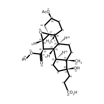 CC(=O)O[C@H]1CC[C@]2(C)[C@H]3CC[C@@]4(C)[C@@H](CC[C@@]4(O)CCC(=O)O)[C@@H]3[C@@H](C(=O)OC(C)C)[C@@H]3O[C@]32C1